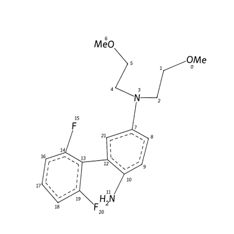 COCCN(CCOC)c1ccc(N)c(-c2c(F)cccc2F)c1